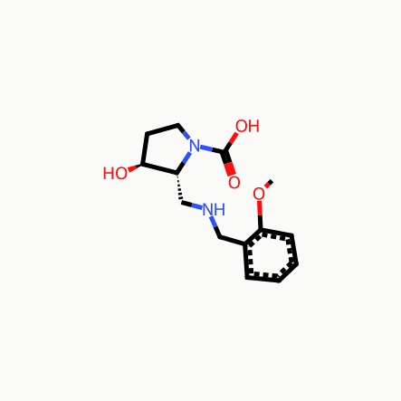 COc1ccccc1CNC[C@@H]1[C@@H](O)CCN1C(=O)O